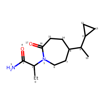 CCC(C(N)=O)N1CCC(C(C)C2CC2)CCC1=O